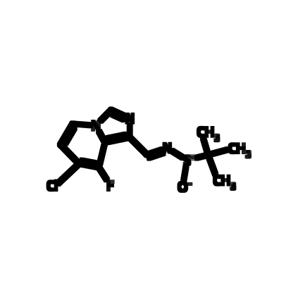 CC(C)(C)[S+]([O-])N=Cc1ncn2ccc(Cl)c(F)c12